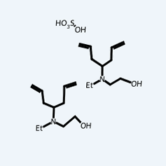 C=CCC(CC=C)N(CC)CCO.C=CCC(CC=C)N(CC)CCO.O=S(=O)(O)O